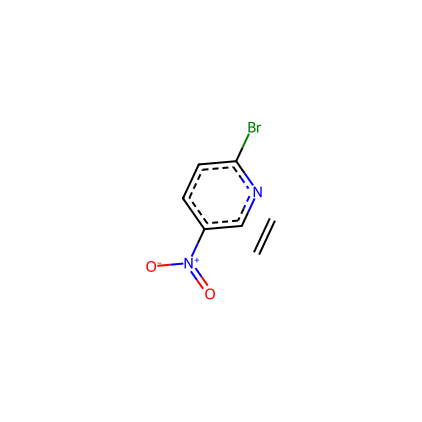 C=C.O=[N+]([O-])c1ccc(Br)nc1